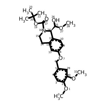 COc1ccc(COc2ccc3c(c2)CCN(C(=O)OC(C)(C)C)[C@H]3C(O)OC)cc1OC